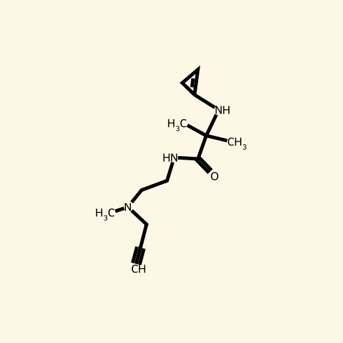 C#CCN(C)CCNC(=O)C(C)(C)NC1=CC1